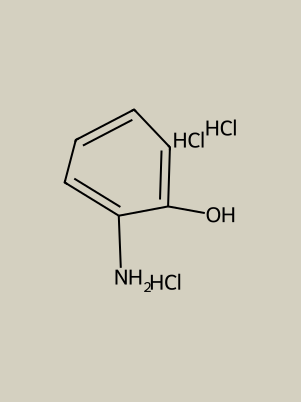 Cl.Cl.Cl.Nc1ccccc1O